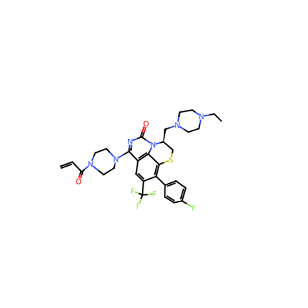 C=CC(=O)N1CCN(c2nc(=O)n3c4c(c(-c5ccc(F)cc5)c(C(F)(F)F)cc24)SC[C@@H]3CN2CCN(CC)CC2)CC1